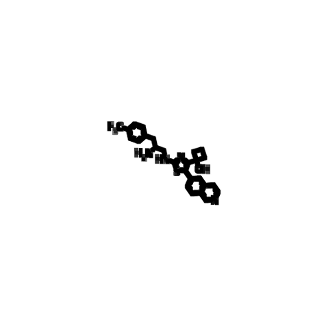 N[C@H](CNc1nc(C2(O)CCC2)c(-c2ccc3cnccc3c2)s1)Cc1ccc(C(F)(F)F)cc1